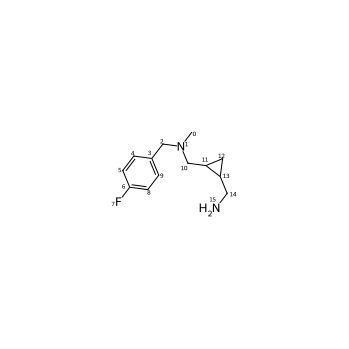 CN(Cc1ccc(F)cc1)CC1CC1CN